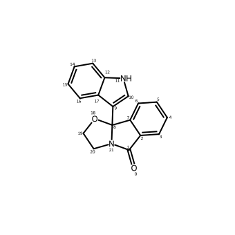 O=C1c2ccccc2C2(c3c[nH]c4ccccc34)OCCN12